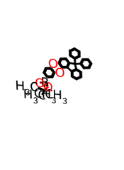 CC1(C)OB(c2ccc3c(c2)Oc2c(ccc4c2-c2ccccc2C4(c2ccccc2)c2ccccc2)O3)OC1(C)C